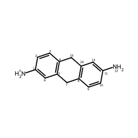 Nc1ccc2c(c1)Cc1ccc(N)cc1C2